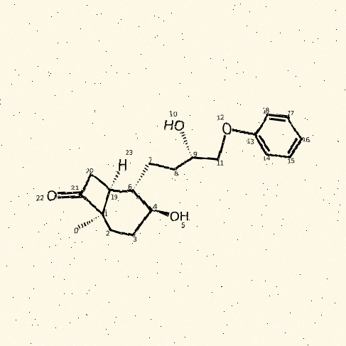 C[C@@]12CC[C@H](O)[C@@H](CC[C@H](O)COc3ccccc3)[C@@H]1CC2=O